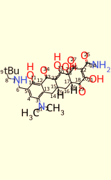 CN(C)c1cc(CNCC(C)(C)C)c(O)c2c1C[C@H]1C[C@H]3C(=O)C(O)=C(C(N)=O)C(=O)[C@@]3(O)C(O)=C1C2=O